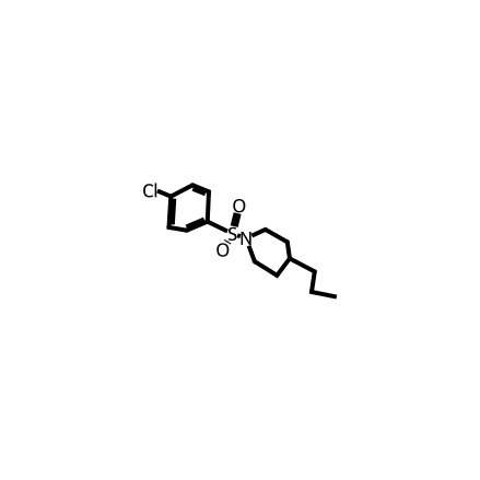 CCCC1CCN(S(=O)(=O)c2ccc(Cl)cc2)CC1